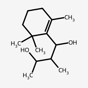 CC1=C(C(O)C(C)C(C)O)C(C)(C)CCC1